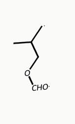 [CH2]C(C)CO[C]=O